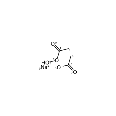 CC(=O)OO.CC(=O)[O-].[Na+]